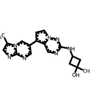 Cc1cnc2ncc(-c3ccn4nc(NC5CC(C)(O)C5)ncc34)cn12